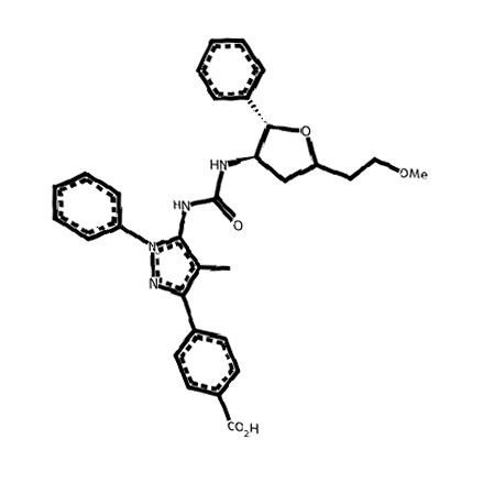 COCCC1C[C@@H](NC(=O)Nc2c(C)c(-c3ccc(C(=O)O)cc3)nn2-c2ccccc2)[C@H](c2ccccc2)O1